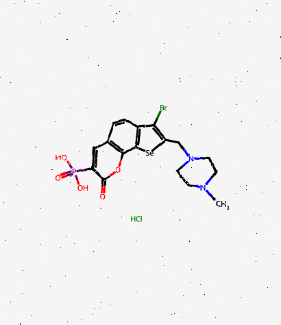 CN1CCN(Cc2[se]c3c(ccc4cc(P(=O)(O)O)c(=O)oc43)c2Br)CC1.Cl